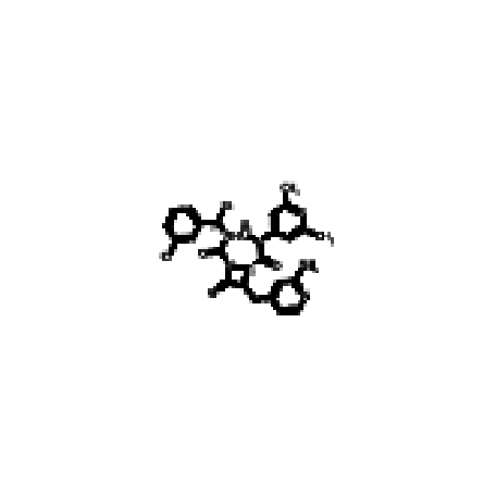 CC[C@@H](NC(=O)N1C(=O)C(Cc2ccnc(N)c2)[C@H]1C(=O)N(C)c1cc(C)nc(C)c1)c1cccc(Cl)c1